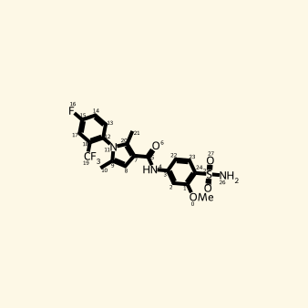 COc1cc(NC(=O)c2cc(C)n(-c3ccc(F)cc3C(F)(F)F)c2C)ccc1S(N)(=O)=O